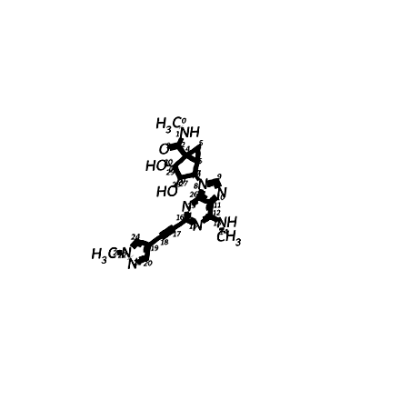 CNC(=O)C12CC1[C@@H](n1cnc3c(NC)nc(C#Cc4cnn(C)c4)nc31)[C@H](O)[C@@H]2O